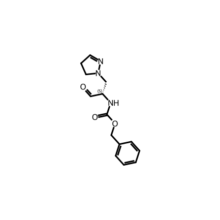 O=C[C@H](CN1CCC=N1)NC(=O)OCc1ccccc1